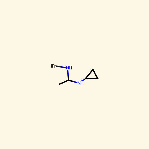 CC(C)NC(C)NC1CC1